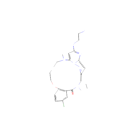 CC[C@H]1c2cc3nc(NCCN)cc(n3n2)N(C)CCCCOc2ccc(Cl)cc2C(=O)N1C